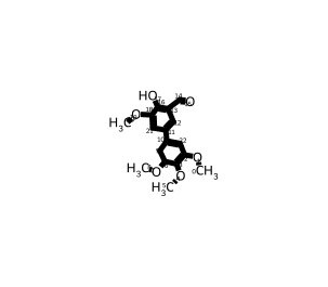 COC1=C(OC)C(OC)CC(c2cc(C=O)c(O)c(OC)c2)=C1